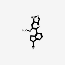 COc1cc2[nH]ncc2nc1-c1cccc2c1CCC2C#N